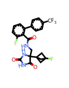 O=C1NC(=O)C(CNC(=O)c2c(F)cccc2-c2ccc(C(F)(F)F)cc2)(C23CC(F)(C2)C3)N1